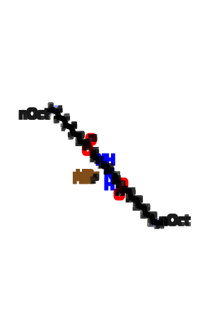 Br.Br.CCCCCCCC/C=C\CCCCCCCC(=O)OCCNCCNCCOC(=O)CCCCCCC/C=C\CCCCCCCC